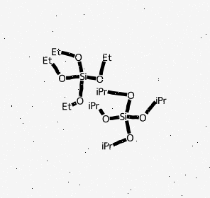 CC(C)O[Si](OC(C)C)(OC(C)C)OC(C)C.CCO[Si](OCC)(OCC)OCC